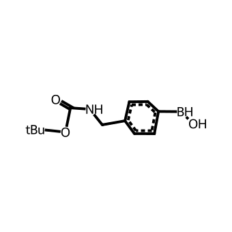 CC(C)(C)OC(=O)NCc1ccc(BO)cc1